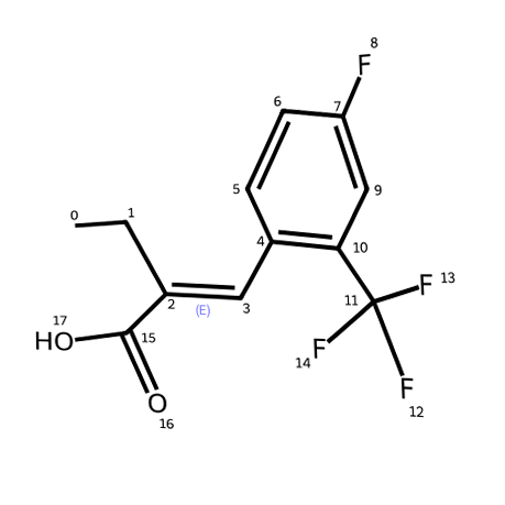 CC/C(=C\c1ccc(F)cc1C(F)(F)F)C(=O)O